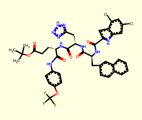 CC(C)(C)OC(=O)CC[C@H](NC(=O)[C@H](Cc1nn[nH]n1)NC(=O)[C@H](Cc1ccc2ccccc2c1)NC(=O)c1cc2c(Cl)cc(Cl)cc2[nH]1)C(=O)Nc1ccc(OC(F)(F)F)cc1